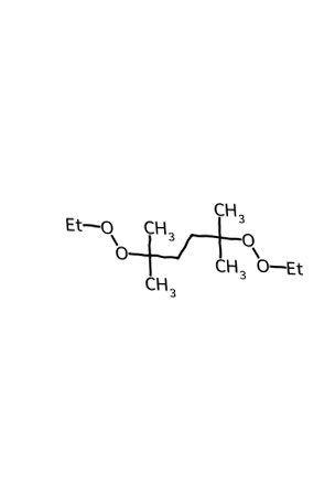 CCOOC(C)(C)CCC(C)(C)OOCC